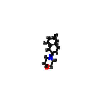 C[C@H]1C=C2CCC(N3CCOCC3)CC2=CC1